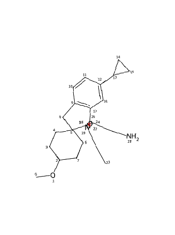 COC1CCC2(CC1)Cc1ccc(C3CC3)cc1C21N=C(N)N(C)O1